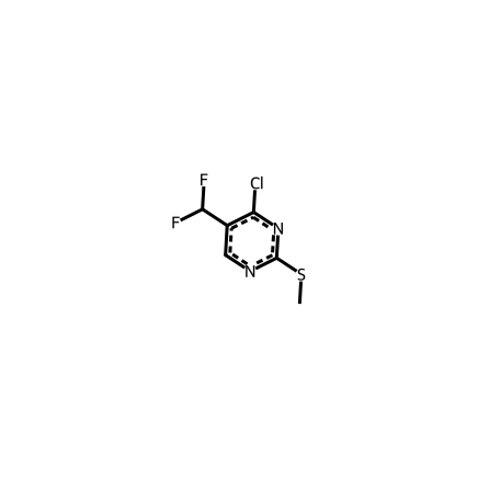 CSc1ncc(C(F)F)c(Cl)n1